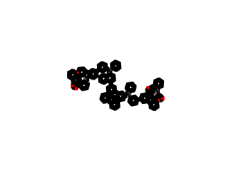 c1ccc(N(c2cccc(-c3ccc4c(c3)-c3ccccc3C43c4ccccc4-n4c5ccccc5c5cccc3c54)c2)c2ccc3c(c2)-c2cc(-c4ccc(N(c5ccccc5)c5cccc(-c6ccc7c(c6)c6cccc8c6n7-c6ccccc6C86c7ccccc7-c7ccccc76)c5)c5ccccc45)ccc2C32c3ccccc3-c3ccccc32)cc1